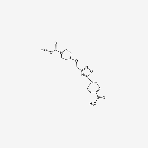 C[S+]([O-])c1ccc(-c2nc(COC3CCN(C(=O)OC(C)(C)C)CC3)no2)cc1